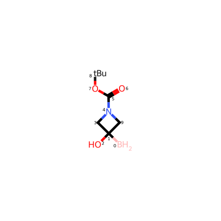 BC1(O)CN(C(=O)OC(C)(C)C)C1